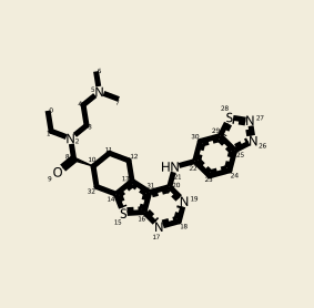 CCN(CCN(C)C)C(=O)[C@H]1CCc2c(sc3ncnc(Nc4ccc5nnsc5c4)c23)C1